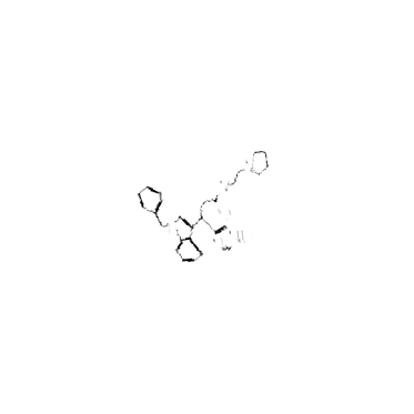 O=C(CC(c1c[nH]cn1)c1cn(Cc2ccccc2)c2ccccc12)NCCN1CCCC1